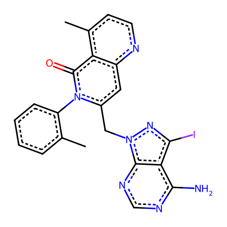 Cc1ccccc1-n1c(Cn2nc(I)c3c(N)ncnc32)cc2nccc(C)c2c1=O